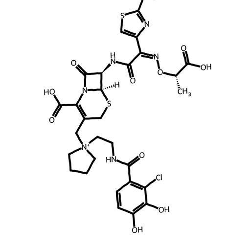 C[C@H](O/N=C(\C(=O)N[C@@H]1C(=O)N2C(C(=O)O)=C(C[N+]3(CCNC(=O)c4ccc(O)c(O)c4Cl)CCCC3)CS[C@H]12)c1csc(N)n1)C(=O)O